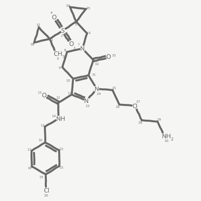 CC1(S(=O)(=O)C2(CN3CCc4c(C(=O)NCc5ccc(Cl)cc5)nn(CCOCCN)c4C3=O)CC2)CC1